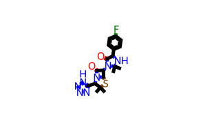 CC1(C)SC2C(N3C(=O)C(c4ccc(F)cc4)NC3(C)C)C(=O)N2C1c1nnn[nH]1